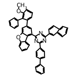 COc1cccc(-c2cc(-c3nc(-c4ccc(-c5ccccc5)cc4)nc(-c4ccc5ccccc5c4)n3)c3c(c2)oc2ccccc23)c1-c1ccccc1